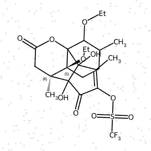 CCOC1C(C)CC[C@@]2(OCC)C13OC(=O)C[C@]2(C)C1(O)C(=O)C(OS(=O)(=O)C(F)(F)F)=C(C)C13O